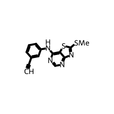 C#Cc1cccc(Nc2ncnc3nc(SC)sc23)c1